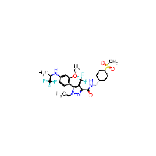 CCn1nc(C(=O)NC[C@H]2CC[C@H](S(C)(=O)=O)CC2)c(C(F)(F)F)c1-c1ccc(N[C@H](C)C(F)(F)F)cc1OC